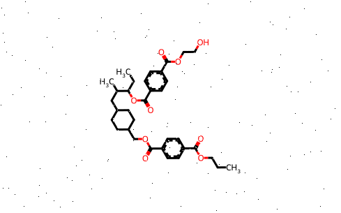 CCCOC(=O)c1ccc(C(=O)OCC2CCC(CC(C)C(CC)OC(=O)c3ccc(C(=O)OCCO)cc3)CC2)cc1